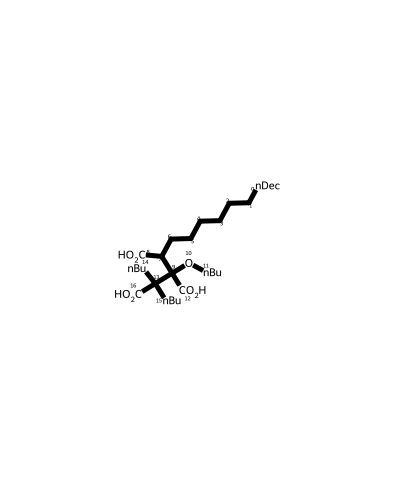 CCCCCCCCCCCCCCCCC(C(=O)O)C(OCCCC)(C(=O)O)C(CCCC)(CCCC)C(=O)O